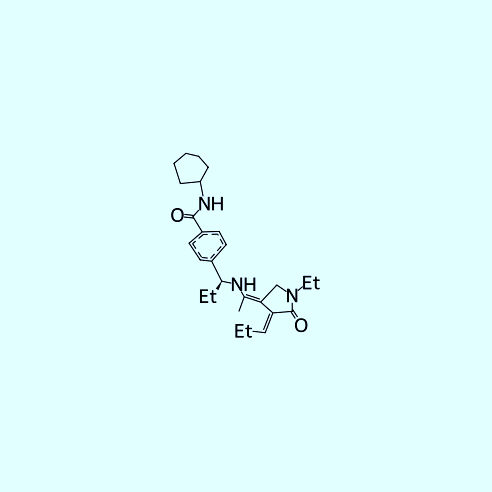 CC/C=C1/C(=O)N(CC)C/C1=C(/C)N[C@@H](CC)c1ccc(C(=O)NC2CCCCC2)cc1